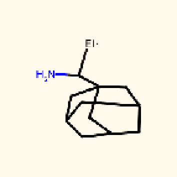 C[CH]C(N)C12CC3CC(CC(C3)C1)C2